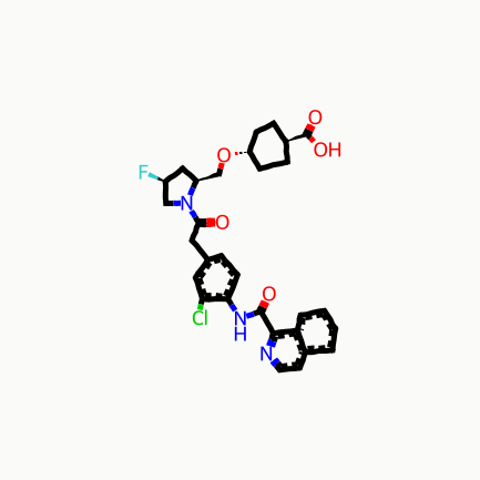 O=C(Nc1ccc(CC(=O)N2C[C@@H](F)C[C@H]2CO[C@H]2CC[C@H](C(=O)O)CC2)cc1Cl)c1nccc2ccccc12